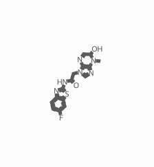 CN1c2ncn(CC(=O)Nc3nc4ccc(F)cc4s3)c2N=CC1O